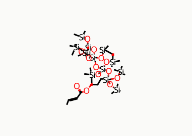 CC=CC(=O)OCCC[Si](O[Si](C)(C)C)(O[Si](C)(C)C)O[Si](O[Si](C)(C)C)(O[Si](C)(C)C)O[Si](O[SiH](O[Si](C)(C)C)O[Si](C)(C)C)(O[Si](C)(C)C)O[Si](C)(C)C